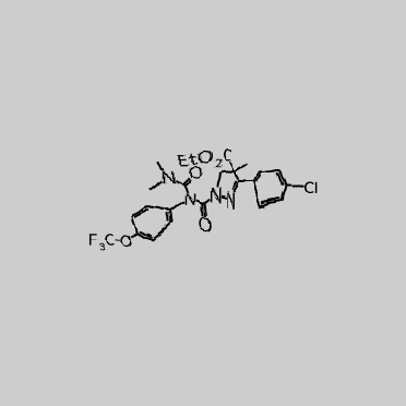 CCOC(=O)C1(C)CN(C(=O)N(C(=O)N(C)C)c2ccc(OC(F)(F)F)cc2)N=C1c1ccc(Cl)cc1